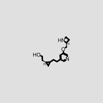 OCC[C@@H]1CC1CCc1cncc(OC[C@@H]2CCN2)c1